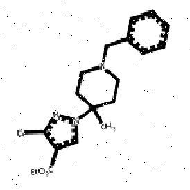 CCOC(=O)c1cn(C2(C)CCN(Cc3ccccc3)CC2)nc1Cl